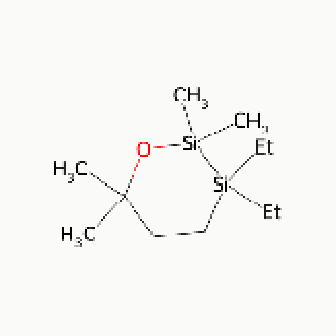 CC[Si]1(CC)CCC(C)(C)O[Si]1(C)C